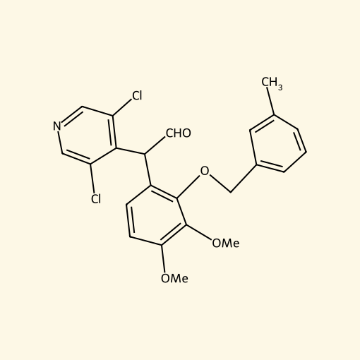 COc1ccc(C(C=O)c2c(Cl)cncc2Cl)c(OCc2cccc(C)c2)c1OC